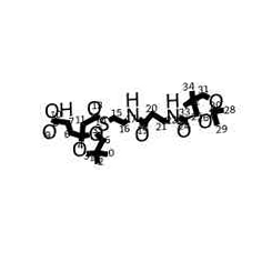 CC1(C)COC(CCC(=O)O)(CC(=O)SCCNC(=O)CCNC(=O)[C@@H]2OC(C)(C)OCC2(C)C)OC1